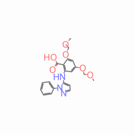 COCOc1cc(Nc2ccnn2-c2ccccc2)c(C(=O)O)c(OCOC)c1